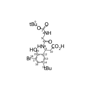 CC(C)(C)OC(=O)NCC(=O)NC(CC(=O)O)c1cc(C(C)(C)C)cc(Br)c1O